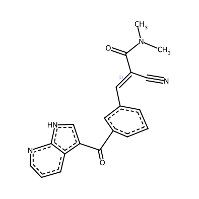 CN(C)C(=O)/C(C#N)=C/c1cccc(C(=O)c2c[nH]c3ncccc23)c1